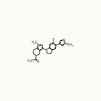 CC(=O)N1CCc2c(c(N3CCc4cc(-c5cnn(C)c5)c(F)cc43)nn2C)C1